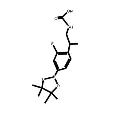 CC(CNC(=O)O)c1ccc(B2OC(C)(C)C(C)(C)O2)cc1F